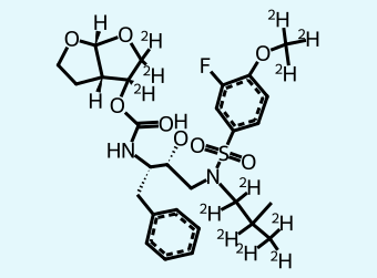 [2H]C([2H])([2H])Oc1ccc(S(=O)(=O)N(C[C@@H](O)[C@H](Cc2ccccc2)NC(=O)O[C@]2([2H])[C@@H]3CCO[C@@H]3OC2([2H])[2H])C([2H])([2H])C([2H])(C)C([2H])([2H])[2H])cc1F